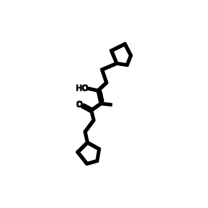 C/C(C(=O)CCC1CCCC1)=C(/O)CCC1CCCC1